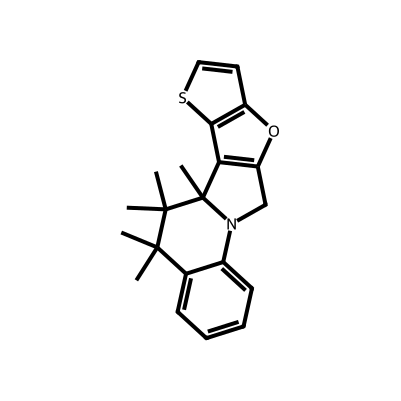 CC1(C)c2ccccc2N2Cc3oc4ccsc4c3C2(C)C1(C)C